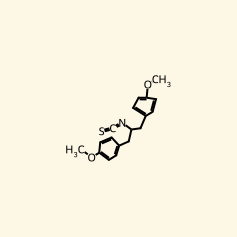 COc1ccc(CC(Cc2ccc(OC)cc2)N=C=S)cc1